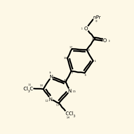 CCCOC(=O)c1ccc(-c2nc(C(Cl)(Cl)Cl)nc(C(Cl)(Cl)Cl)n2)cc1